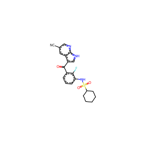 N#Cc1cnc2[nH]cc(C(=O)c3cccc(NS(=O)(=O)C4CCCCC4)c3F)c2c1